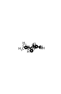 Cc1cc2nc(C(CNC(=O)c3c(Cl)cc(-c4cn[nH]c4)cc3Cl)c3ccccc3)[nH]c2cc1C